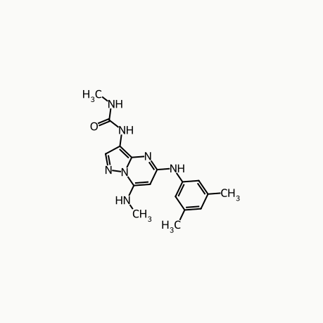 CNC(=O)Nc1cnn2c(NC)cc(Nc3cc(C)cc(C)c3)nc12